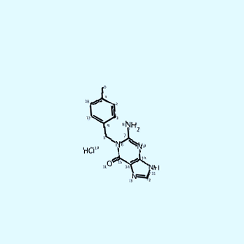 Cc1ccc(Cn2c(N)nc3[nH]cnc3c2=O)cc1.Cl